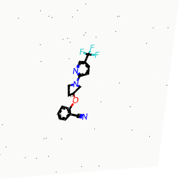 N#Cc1ccccc1O[C@H]1CCN(c2ccc(C(F)(F)F)cn2)C1